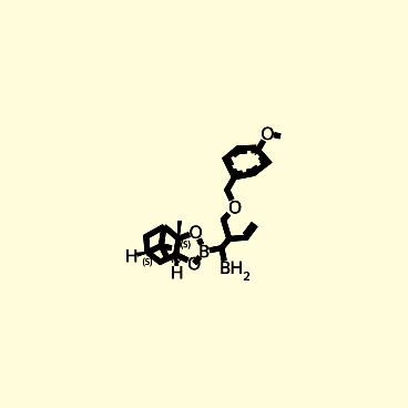 BC(B1O[C@@H]2C[C@@H]3CC(C3(C)C)[C@]2(C)O1)C(C=C)COCc1ccc(OC)cc1